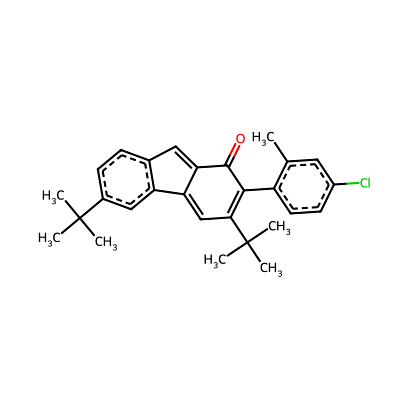 Cc1cc(Cl)ccc1C1=C(C(C)(C)C)C=C2C(=Cc3ccc(C(C)(C)C)cc32)C1=O